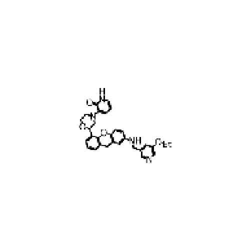 CCOc1cncc(CNc2ccc3c(c2)Cc2cccc(C4CN(c5ccc[nH]c5=O)CCO4)c2O3)c1